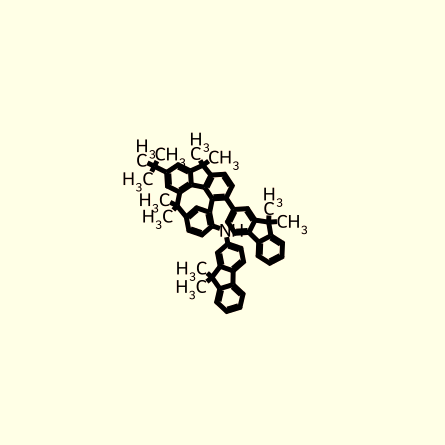 CC(C)(C)c1cc2c3c(c1)C(C)(C)c1ccc(-c4ccc5c(c4)C(C)(C)c4ccccc4-5)c(c1-3)-c1cc(ccc1Nc1ccc3c(c1)C(C)(C)c1ccccc1-3)C2(C)C